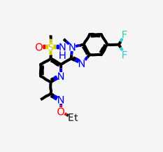 CCON=C(C)c1ccc(S(C)(=N)=O)c(-c2nc3cc(C(F)F)ccc3n2C)n1